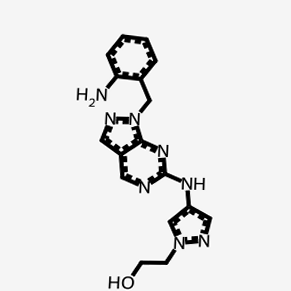 Nc1ccccc1Cn1ncc2cnc(Nc3cnn(CCO)c3)nc21